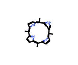 C/C1=C2\C=CC(=N2)/C(C)=c2/cc/c([nH]2)=C(\C)c2cc(c[nH]2)/C(C)=C2/C=CC1=N2